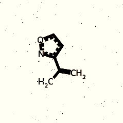 [CH2]C(=C)c1ccon1